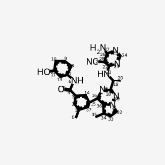 Cc1cc(C(=O)Nc2cccc(O)c2)cc(-c2nc([C@H](C)Nc3ncnc(N)c3C#N)nn3ccc(C)c23)c1